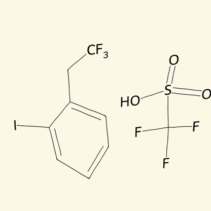 FC(F)(F)Cc1ccccc1I.O=S(=O)(O)C(F)(F)F